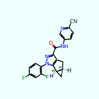 N#Cc1ccc(NC(=O)c2nn(-c3ccc(F)cc3F)c3c2C[C@H]2C[C@@H]32)cn1